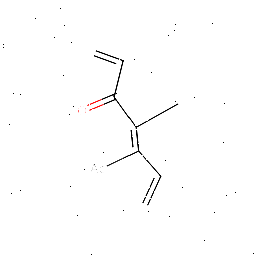 C=CC(=O)/C(C)=C(/C=C)C(C)=O